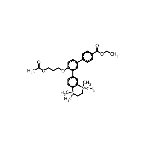 CCOC(=O)c1ccc(-c2ccc(OCCCOC(C)=O)c(-c3ccc4c(c3)S(C)(C)CCS4(C)C)c2)cc1